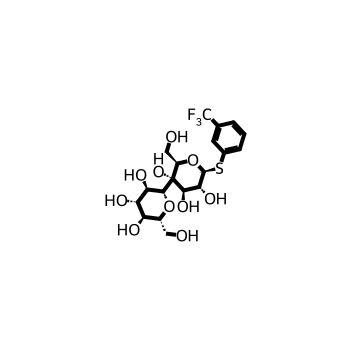 OC[C@H]1O[C@@H]([C@]2(O)[C@H](O)[C@@H](O)[C@H](Sc3cccc(C(F)(F)F)c3)O[C@@H]2CO)[C@H](O)[C@@H](O)[C@@H]1O